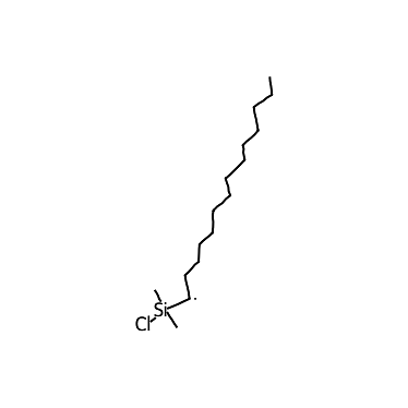 CCCCCCCCCCCCC[CH][Si](C)(C)Cl